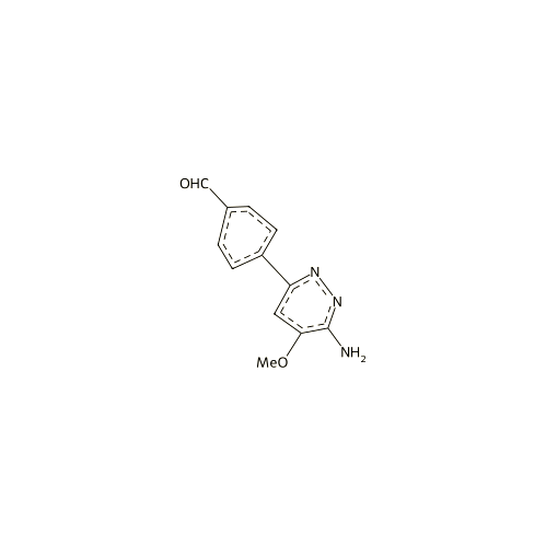 COc1cc(-c2ccc(C=O)cc2)nnc1N